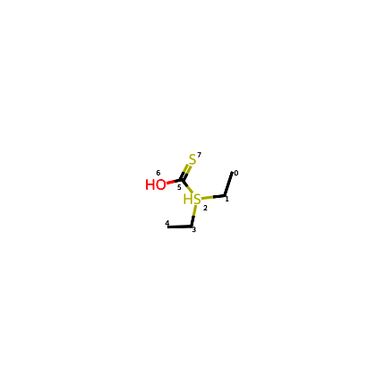 CC[SH](CC)C(O)=S